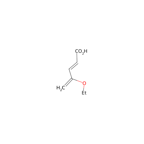 C=C(C=CC(=O)O)OCC